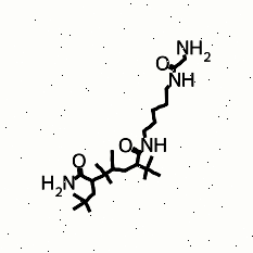 CC(CC(C(=O)NCCCCCNC(=O)CN)C(C)(C)C)C(C)(C)C(CC(C)(C)C)C(N)=O